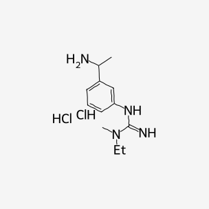 CCN(C)C(=N)Nc1cccc(C(C)N)c1.Cl.Cl